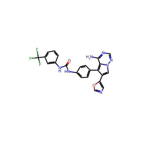 Nc1ncnn2cc(-c3cnco3)c(-c3ccc(NC(=O)Nc4cccc(C(F)(F)F)c4)cc3)c12